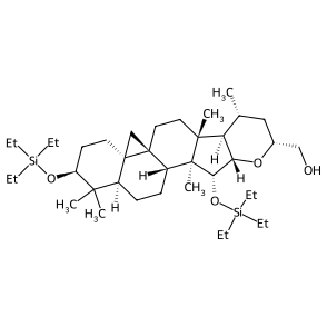 CC[Si](CC)(CC)O[C@H]1CC[C@]23C[C@]24CC[C@]2(C)[C@@H]5[C@H](O[C@@H](CO)C[C@H]5C)[C@H](O[Si](CC)(CC)CC)[C@@]2(C)[C@@H]4CC[C@H]3C1(C)C